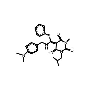 CC(C)CN1C(=N)/C(=C(\NCc2ccc(N(C)C)cc2)Sc2ccccc2)C(=O)N(C)C1=O